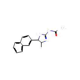 CCC1N=C(NC(=O)OC)NC1c1ccc2ccccc2c1